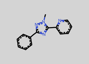 Cn1nc(-c2ccccc2)nc1-c1ccccn1